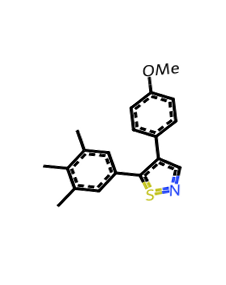 COc1ccc(-c2cnsc2-c2cc(C)c(C)c(C)c2)cc1